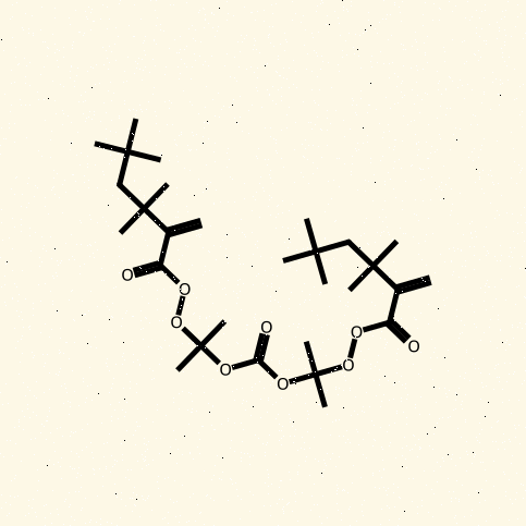 C=C(C(=O)OOC(C)(C)OC(=O)OC(C)(C)OOC(=O)C(=C)C(C)(C)CC(C)(C)C)C(C)(C)CC(C)(C)C